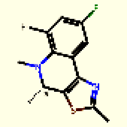 Cc1nc2c(s1)[C@H](C)N(C)c1c-2cc(F)cc1C(C)C